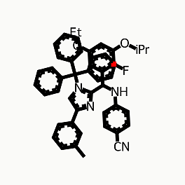 CCOc1cc(OC(C)C)c(F)c(C(Nc2ccc(C#N)cc2)c2nc(-c3cccc(C)c3)cn2C(c2ccccc2)(c2ccccc2)c2ccccc2)c1